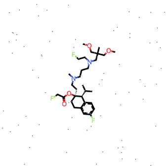 COCC(C)(COC)CN(CCF)CCCN(C)CC[C@@]1(OC(=O)CF)CCc2cc(F)ccc2[C@@H]1C(C)C